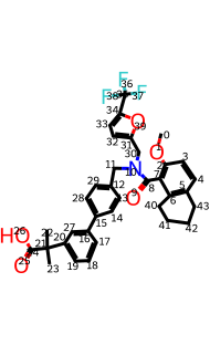 COc1ccc2c(c1C(=O)N(Cc1ccc(-c3cccc(C(C)(C)C(=O)O)c3)cc1)Cc1ccc(C(F)(F)F)o1)CCCC2